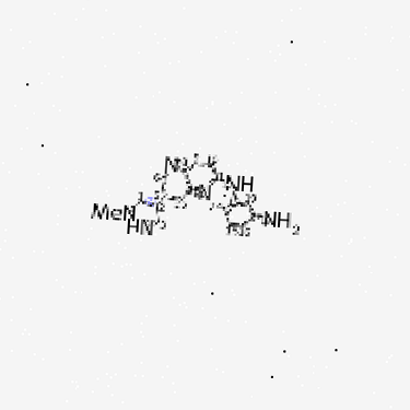 CN/C=C(\C=N)c1cnc2ccc(Nc3cccc(N)c3)nc2c1